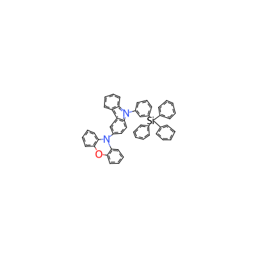 c1ccc([Si](c2ccccc2)(c2ccccc2)c2cccc(-n3c4ccccc4c4cc(N5c6ccccc6Oc6ccccc65)ccc43)c2)cc1